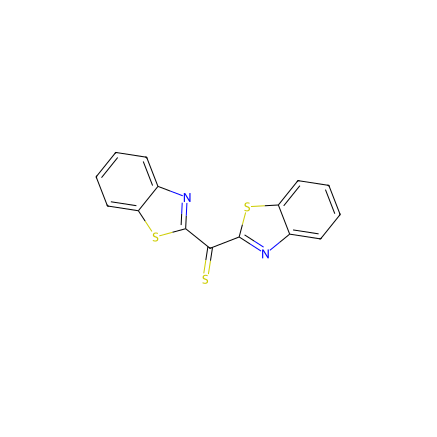 S=C(c1nc2ccccc2s1)c1nc2ccccc2s1